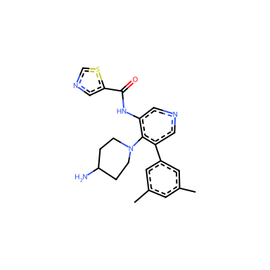 Cc1cc(C)cc(-c2cncc(NC(=O)c3cncs3)c2N2CCC(N)CC2)c1